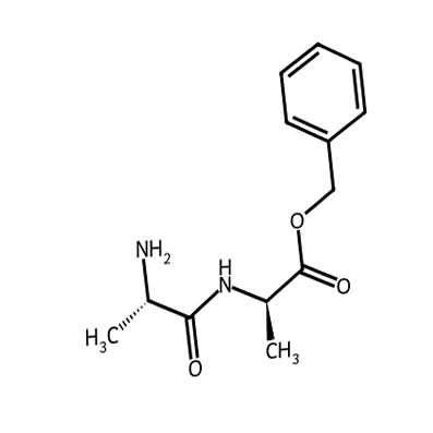 C[C@H](N)C(=O)N[C@H](C)C(=O)OCc1ccccc1